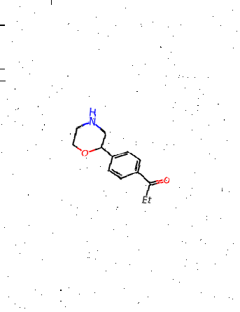 CCC(=O)c1ccc(C2CNCCO2)cc1